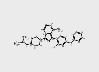 CN(C)C[C@H]1CC[C@@H](c2nc(-c3ccc(Oc4ccccc4)cc3F)c3c(N)nccn23)CO1